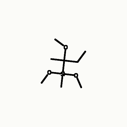 CCC(C)(OC)[Si](C)(OC)OC